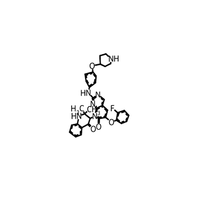 CC1(C)Nc2ccccc2C(=O)C1n1c(=O)c(Oc2ccccc2F)cc2cnc(Nc3ccc(OC4CCNCC4)cc3)nc21